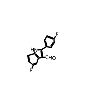 O=Cc1c(-c2ccc(F)cc2)[nH]c2ccc(F)cc12